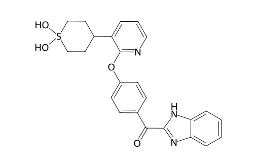 O=C(c1ccc(Oc2ncccc2C2CCS(O)(O)CC2)cc1)c1nc2ccccc2[nH]1